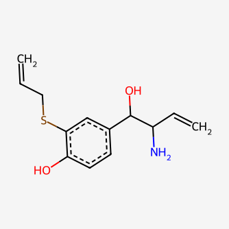 C=CCSc1cc(C(O)C(N)C=C)ccc1O